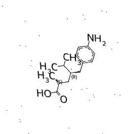 CC(C)[C@@H](Cc1ccc(N)cc1)C[C@H](C)C(=O)O